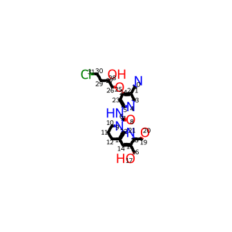 N#Cc1cnc(NC(=O)N2CCCc3cc(CO)c(C=O)nc32)cc1OCC(O)CCCl